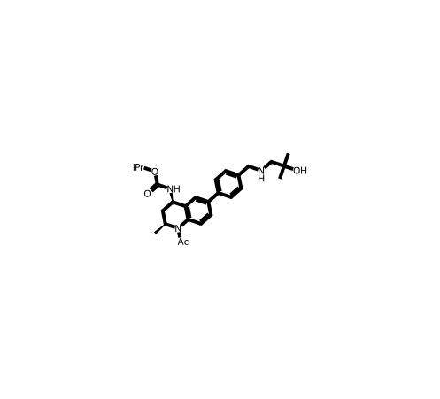 CC(=O)N1c2ccc(-c3ccc(CNCC(C)(C)O)cc3)cc2[C@H](NC(=O)OC(C)C)C[C@@H]1C